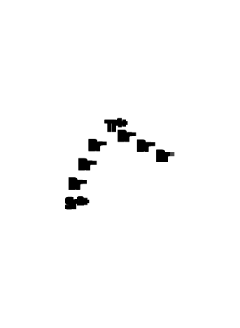 [Br-].[Br-].[Br-].[Br-].[Br-].[Br-].[Sr+2].[Ti+4]